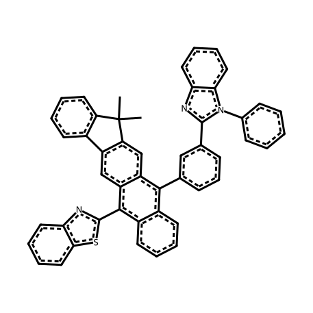 CC1(C)c2ccccc2-c2cc3c(-c4nc5ccccc5s4)c4ccccc4c(-c4cccc(-c5nc6ccccc6n5-c5ccccc5)c4)c3cc21